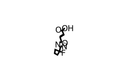 O=C(O)/C=C/c1nc(C2(F)CCC2)no1